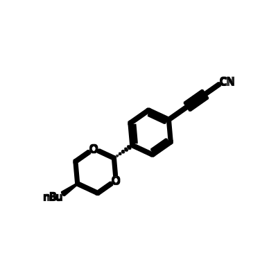 CCCC[C@H]1CO[C@H](c2ccc(C#CC#N)cc2)OC1